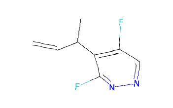 C=CC(C)c1c(F)cnnc1F